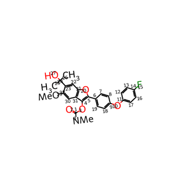 CNC(=O)Oc1c(-c2ccc(Oc3ccc(F)cc3)cc2)oc2cc(C(C)(C)O)c(OC)cc12